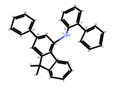 CC1(C)c2ccccc2-c2c(Nc3ccccc3-c3ccccc3)cc(-c3ccccc3)cc21